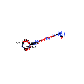 CO/N=C1/C[C@@H]([C@H](C)C[C@@H]2CC[C@H](n3cc(CCCC(=O)NCCOCCOCCOCCC(=O)NCCOCCOCCOCCC(=O)NCCCCn4nc(-c5cc6cc(O)ccc6[nH]5)c5c(N)ncnc54)nn3)[C@H](OC)C2)OC(=O)[C@@H]2CCCCN2C(=O)C(=O)[C@]2(O)O[C@@H](CC[C@H]2C)C[C@H](OC)/C(C)=C/C=C/C=C/[C@@H](C)C[C@@H](C)C(=O)[C@H](O)[C@H](O)/C(C)=C/[C@H]1C